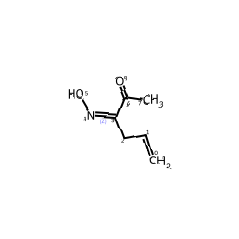 C=CC/C(=N/O)C(C)=O